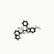 Cc1ccc2nc([C@H](C)Nc3ccnc4ccnn34)n(-c3ccccc3)c2n1